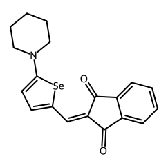 O=C1C(=Cc2ccc(N3CCCCC3)[se]2)C(=O)c2ccccc21